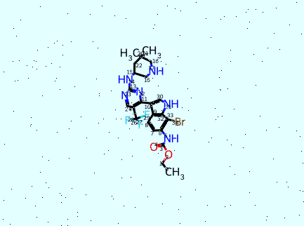 CCOC(=O)Nc1ccc2c(-c3nc(NC4CNCC(C)(C)C4)ncc3C(F)(F)F)c[nH]c2c1Br